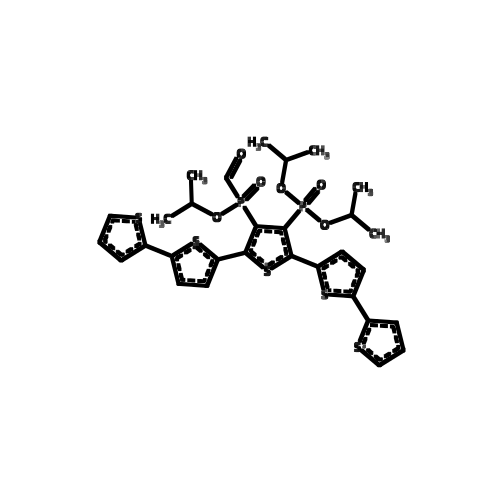 CC(C)OP(=O)(C=O)c1c(-c2ccc(-c3cccs3)s2)sc(-c2ccc(-c3cccs3)s2)c1P(=O)(OC(C)C)OC(C)C